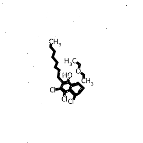 CCCCCCCCc1c(Cl)c(Cl)c2c(Cl)cccc2c1O.CCOCC